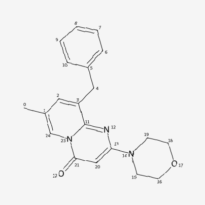 Cc1cc(Cc2ccccc2)c2nc(N3CCOCC3)cc(=O)n2c1